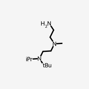 CC(C)N(CCN(C)CCN)C(C)(C)C